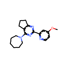 COc1ccnc(-c2nc3c(c(N4CCCCCC4)n2)CCC3)c1